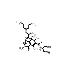 C[C@H](O)C(=O)C1=C(O)C(N)(C(=O)C(N)CN(CCN)CCN)C(O)C(C(=O)NC(CO)CO)=C1O